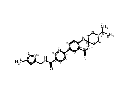 Cc1cc(CNC(=O)c2ccc(-c3ccc4c(c3)C(=O)NC3(CCN(C(C)C)CC3)O4)nc2)on1